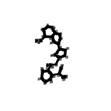 Nc1ncnc2ccc(-c3ccc(CNc4nccnc4C(=O)O)s3)cc12